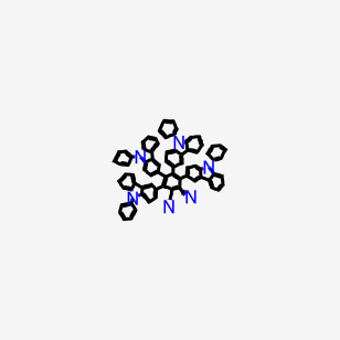 N#Cc1c(C#N)c(-c2ccc3c(c2)c2ccccc2n3-c2ccccc2)c(-c2ccc3c(c2)c2ccccc2n3-c2ccccc2)c(-c2ccc3c(c2)c2ccccc2n3-c2ccccc2)c1-c1ccc2c(c1)c1ccccc1n2-c1ccccc1